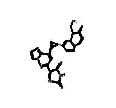 O=c1[nH]cc(-c2cc(C3C[C@@H]3c3ccc4ccc(=O)n(CC(F)(F)F)c4c3)c3nccn3n2)c(=O)[nH]1